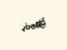 C[C@H]1CN(c2ccc(Nc3ncc4cc5n(c4n3)C3(CCCCC3)CCC5=O)nc2)CCN1CC1CC1